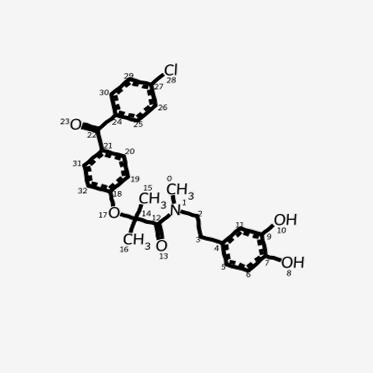 CN(CCc1ccc(O)c(O)c1)C(=O)C(C)(C)Oc1ccc(C(=O)c2ccc(Cl)cc2)cc1